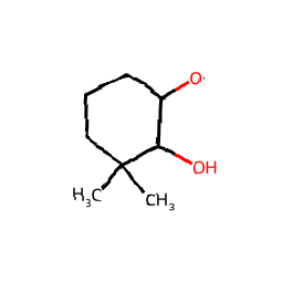 CC1(C)CCCC([O])C1O